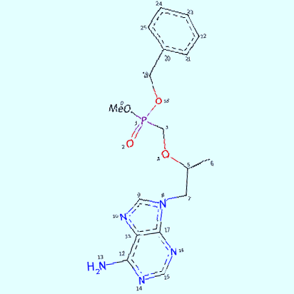 COP(=O)(COC(C)Cn1cnc2c(N)ncnc21)OCc1ccccc1